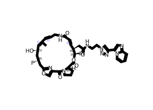 CC1=C\[C@@H](O)C[C@@H](F)Cc2nc(co2)C(=O)N2CCC[C@@H]2C(=O)O[C@H](C(C)C)[C@H](CC(=O)NCCn2cc(-c3cnc4ccccn34)nn2)/C=C/C(=O)NC\C=C\1